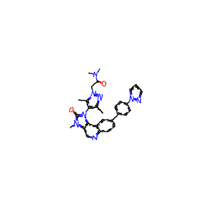 Cc1nn(CC(=O)N(C)C)c(C)c1-n1c(=O)n(C)c2cnc3ccc(-c4ccc(-n5cccn5)cc4)cc3c21